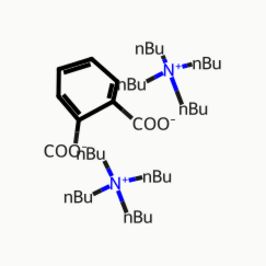 CCCC[N+](CCCC)(CCCC)CCCC.CCCC[N+](CCCC)(CCCC)CCCC.O=C([O-])c1ccccc1C(=O)[O-]